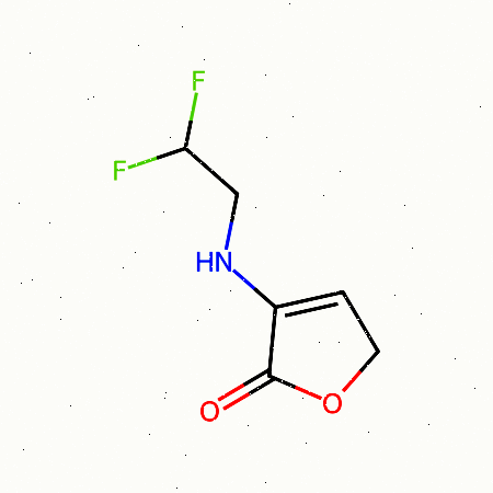 O=C1OCC=C1NCC(F)F